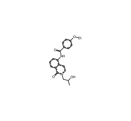 CCOc1ccc(C(=O)Nc2cccc3c(=O)n(CC(C)O)ccc23)cc1